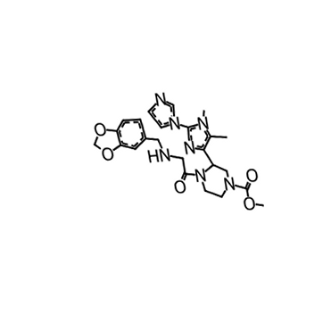 COC(=O)N1CCN(C(=O)CNCc2ccc3c(c2)OCO3)C(c2nc(-n3ccnc3)n(C)c2C)C1